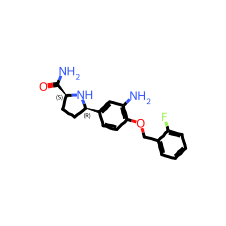 NC(=O)[C@@H]1CC[C@H](c2ccc(OCc3ccccc3F)c(N)c2)N1